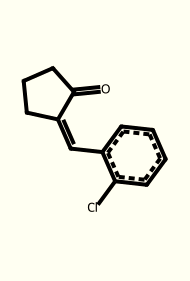 O=C1CCCC1=Cc1ccccc1Cl